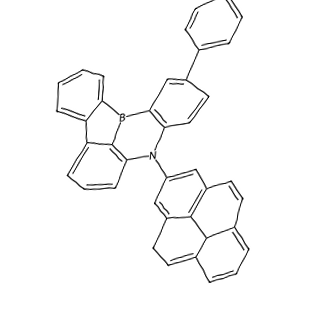 C1=CC2=CCc3cc(N4c5ccc(-c6ccccc6)cc5B5c6ccccc6-c6cccc4c65)cc4c3C2C(=C1)C=C4